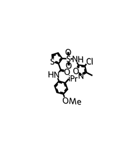 COc1ccc(NC(=O)c2sccc2S(=O)(=O)Nc2onc(C)c2Cl)c(C(C)C)c1